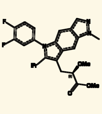 COC(=O)[C@@H](Cc1c(C(C)C)n(-c2ccc(F)c(F)c2)c2cc3cnn(C)c3cc12)OC